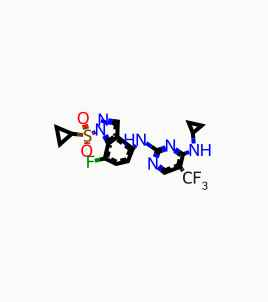 O=S(=O)(C1CC1)n1ncc2c(Nc3ncc(C(F)(F)F)c(NC4CC4)n3)ccc(F)c21